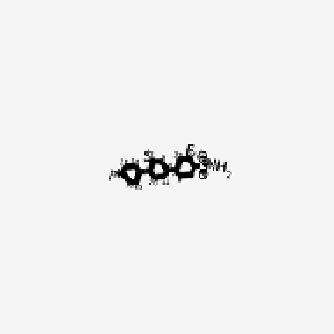 NS(=O)(=O)c1ccc(C2=CC(=S)C(c3ccc(F)cc3)C=C2)cc1F